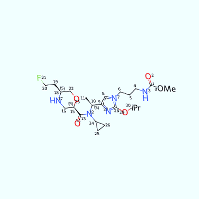 COC(=O)NCCCn1cc([C@H](C)N(C(=O)[C@H]2CN[C@@H](CCF)CO2)C2CC2)nc1OC(C)C